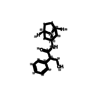 CN1[C@@H]2CC[C@H]1C[C@H](NC(=O)C(CO)c1ccccc1)C2